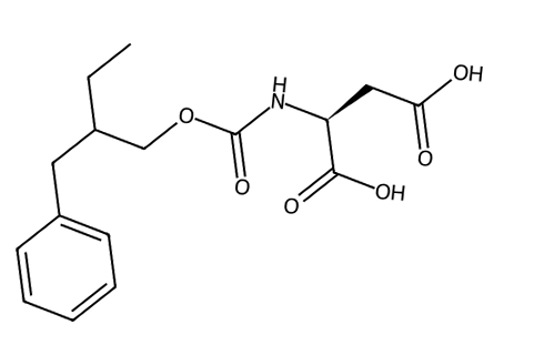 CCC(COC(=O)N[C@@H](CC(=O)O)C(=O)O)Cc1ccccc1